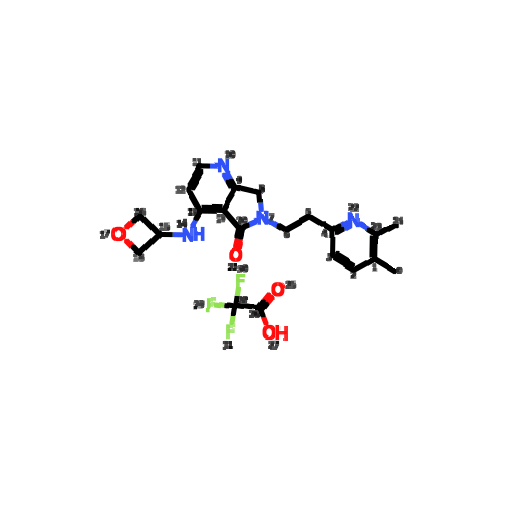 Cc1ccc(CCN2Cc3nccc(NC4COC4)c3C2=O)nc1C.O=C(O)C(F)(F)F